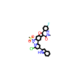 CNC(=O)c1c(-c2ccc(F)cc2)oc2cc(N(C)S(C)(=O)=O)c(-c3cc(-c4cc5ccccc5[nH]4)cc(Cl)n3)cc12